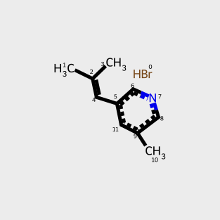 Br.CC(C)=Cc1cncc(C)c1